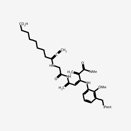 C=C=C(CCCCCCCC(=O)O)NCC(=O)NC(=C)/C=C(/Nc1cccc(CC(C)CCC)c1OC)C(=C)C(=O)NC